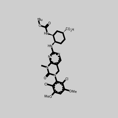 COc1cc(OC)c(Cl)c(N2Cc3cnc(N[C@@H]4CC[C@@H](C(=O)O)C[C@@H]4NC(=O)OC(C)(C)C)nc3N(C)C2=O)c1Cl